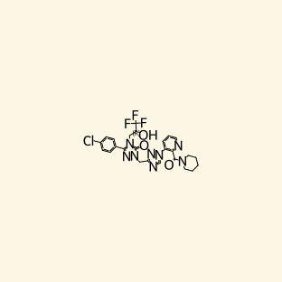 O=C(c1ncccc1-n1cnc(Cn2nc(-c3ccc(Cl)cc3)n(C[C@@H](O)C(F)(F)F)c2=O)n1)N1CCCCC1